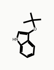 CC(C)(C)Oc1c[nH]c2ccccc12